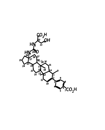 CC1C(c2ccc(C(=O)O)cc2)=CCC2(C)C1CCC1(C)C2CCC2C3CCCC3(NC(=O)NC(CO)C(=O)O)CC[C@]21C